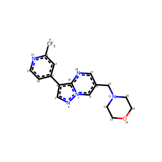 FC(F)(F)c1cc(-c2cnn3cc(CN4CCOCC4)cnc23)ccn1